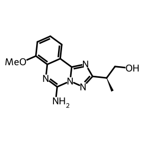 COc1cccc2c1nc(N)n1nc([C@H](C)CO)nc21